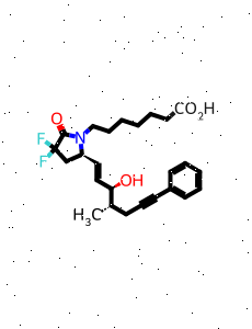 C[C@@H](CC#Cc1ccccc1)[C@H](O)/C=C/[C@H]1CC(F)(F)C(=O)N1CCCCCCC(=O)O